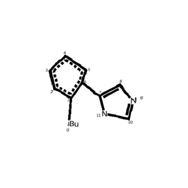 CCC(C)c1ccccc1C1=CN=C[N]1